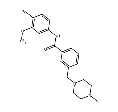 CN1CCN(Cc2cccc(C(=O)Nc3ccc(Br)c(OC(F)(F)F)c3)c2)CC1